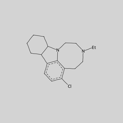 CCN1CCc2c(Cl)ccc3c2N(CC1)C1CCCCC31